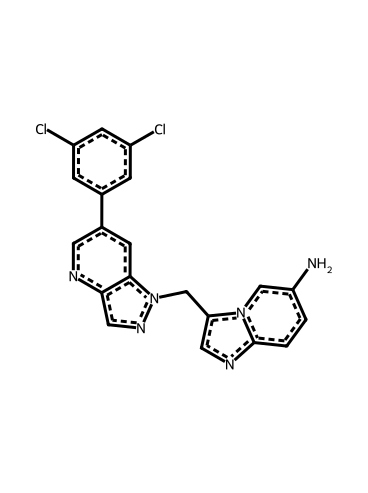 Nc1ccc2ncc(Cn3ncc4ncc(-c5cc(Cl)cc(Cl)c5)cc43)n2c1